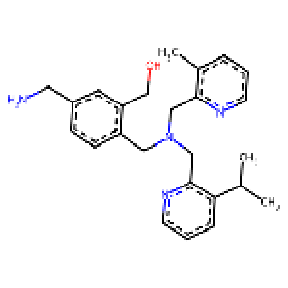 Cc1cccnc1CN(Cc1ccc(CN)cc1CO)Cc1ncccc1C(C)C